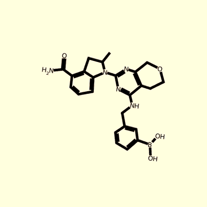 CC1Cc2c(C(N)=O)cccc2N1c1nc2c(c(NCc3cccc(B(O)O)c3)n1)CCOC2